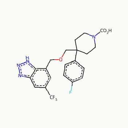 O=C(O)N1CCC(COCc2cc(C(F)(F)F)cc3nn[nH]c23)(c2ccc(F)cc2)CC1